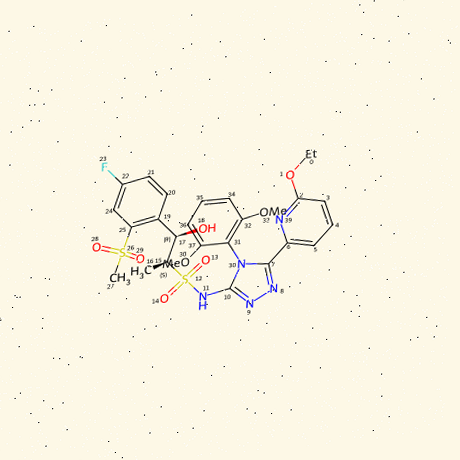 CCOc1cccc(-c2nnc(NS(=O)(=O)[C@@H](C)[C@H](O)c3ccc(F)cc3S(C)(=O)=O)n2-c2c(OC)cccc2OC)n1